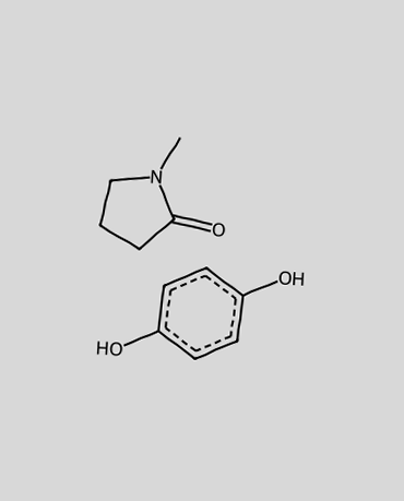 CN1CCCC1=O.Oc1ccc(O)cc1